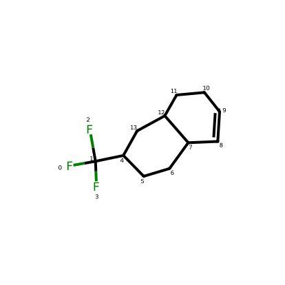 FC(F)(F)C1CCC2C=[C]CCC2C1